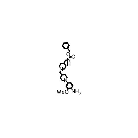 COc1cc(N2CCC(CN3CCC(CNC(=O)OCc4ccccc4)CC3)CC2)ccc1N